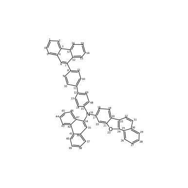 c1ccc2c(c1)cc(-c1ccc(-c3ccc(N(c4ccc5c(c4)oc4c6ccccc6ccc54)c4cc5ccccc5c5ccccc45)cc3)cc1)c1ccccc12